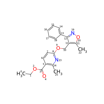 CCOC(=O)c1ccc(OCc2c(-c3ccccc3)noc2C)nc1C